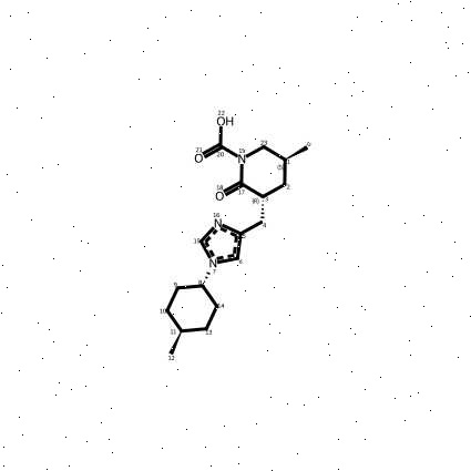 C[C@H]1C[C@H](Cc2cn([C@H]3CC[C@H](C)CC3)cn2)C(=O)N(C(=O)O)C1